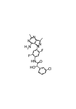 Cc1nc(N)c2c(n1)c(C)nn2-c1cc(F)c(NC(=O)C(O)c2cccc(Cl)c2)cc1F